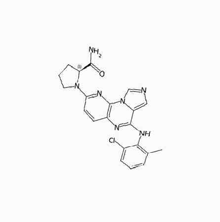 Cc1cccc(Cl)c1Nc1nc2ccc(N3CCC[C@H]3C(N)=O)nc2n2cncc12